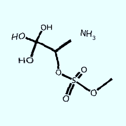 COS(=O)(=O)OC(C)C(O)(O)O.N